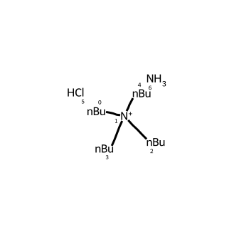 CCCC[N+](CCCC)(CCCC)CCCC.Cl.N